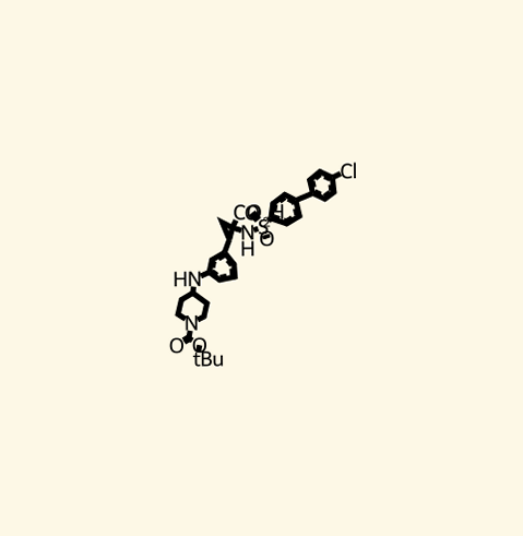 CC(C)(C)OC(=O)N1CCC(Nc2cccc(C3CC3(NS(=O)(=O)c3ccc(-c4ccc(Cl)cc4)cc3)C(=O)O)c2)CC1